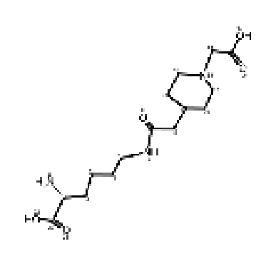 N[C@H](CCCCNC(=O)CC1CCN(CC(=O)O)CC1)C(=O)O